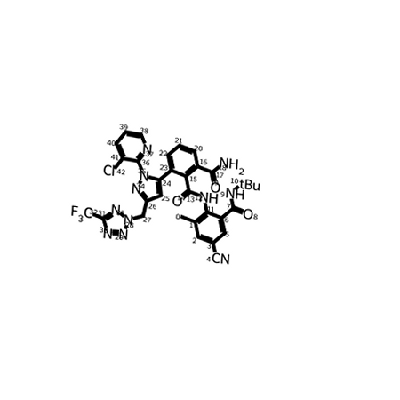 Cc1cc(C#N)cc(C(=O)NC(C)(C)C)c1NC(=O)c1c(C(N)=O)cccc1-c1cc(Cn2nnc(C(F)(F)F)n2)nn1-c1ncccc1Cl